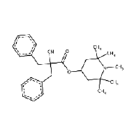 CN1C(C)(C)CC(OC(=O)C(C#N)(Cc2ccccc2)Cc2ccccc2)CC1(C)C